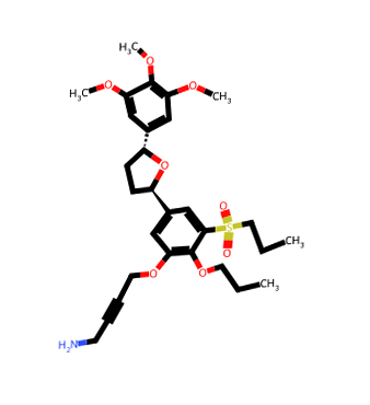 CCCOc1c(OCC#CCN)cc([C@H]2CC[C@H](c3cc(OC)c(OC)c(OC)c3)O2)cc1S(=O)(=O)CCC